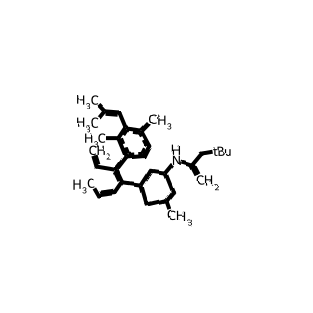 C=C/C(=C(\C=C/C)C1CC(C)CC(NC(=C)CC(C)(C)C)C1)c1ccc(C)c(C=C(C)C)c1C